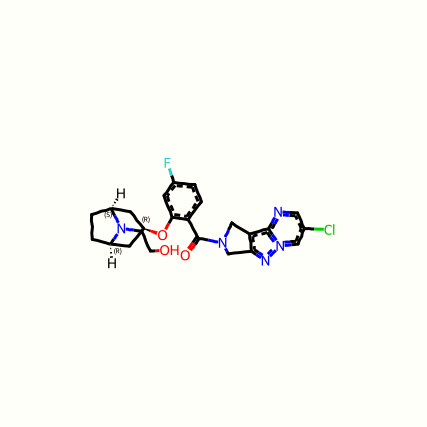 O=C(c1ccc(F)cc1O[C@H]1C[C@H]2CC[C@@H](C1)N2CCO)N1Cc2nn3cc(Cl)cnc3c2C1